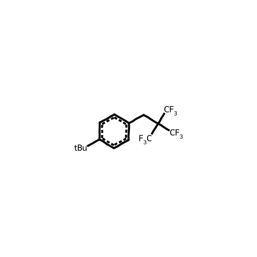 CC(C)(C)c1ccc(CC(C(F)(F)F)(C(F)(F)F)C(F)(F)F)cc1